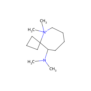 CN(C)C1CCCC[N+](C)(C)C12CCC2